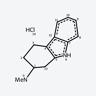 CNC1CCc2c([nH]c3ccccc23)C1.Cl